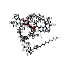 CCCCCCCCCCNCCOC(=O)C(F)(F)F.CN[C@H](CC(C)C)C(=O)N[C@H]1C(=O)N[C@@H](CC(N)=O)C(=O)N[C@H]2C(=O)N[C@H]3C(=O)N[C@H](C(=O)N[C@@H](C(=O)O)c4cc(O)cc(O)c4-c4cc3ccc4O)[C@H](O)c3ccc(c(Cl)c3)Oc3cc2cc(c3O[C@@H]2O[C@H](CO)[C@@H](O)[C@H](O)[C@H]2O[C@H]2C[C@](C)(N)C(O)[C@H](C)O2)Oc2ccc(cc2Cl)[C@H]1O